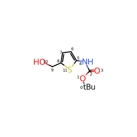 CC(C)(C)OC(=O)Nc1ccc(CO)s1